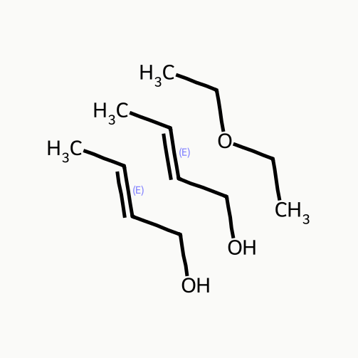 C/C=C/CO.C/C=C/CO.CCOCC